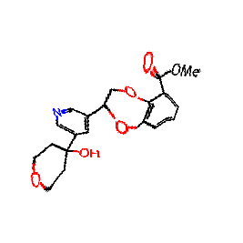 COC(=O)c1cccc2c1OCC(c1cncc(C3(O)CCOCC3)c1)O2